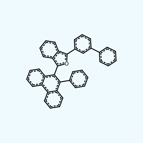 c1ccc(-c2cccc(-c3oc(-c4c(-c5ccccc5)c5ccccc5c5ccccc45)c4ccccc34)c2)cc1